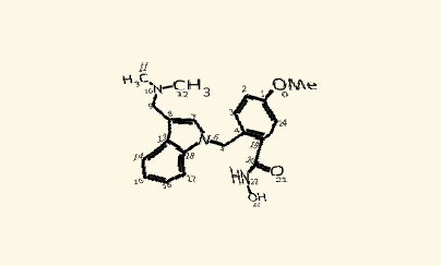 COc1ccc(Cn2cc(CN(C)C)c3ccccc32)c(C(=O)NO)c1